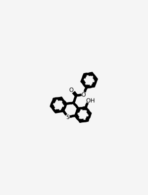 O=C(Oc1ccccc1)C1c2ccccc2Sc2cccc(O)c21